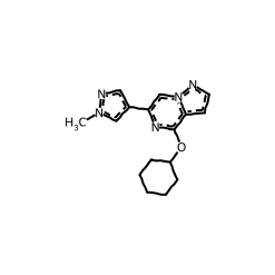 Cn1cc(-c2cn3nccc3c(OC3CCCCC3)n2)cn1